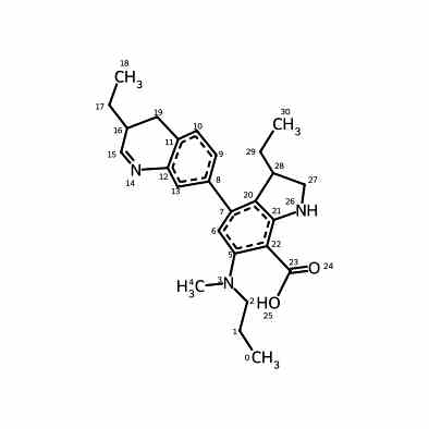 CCCN(C)c1cc(-c2ccc3c(c2)N=CC(CC)C3)c2c(c1C(=O)O)NCC2CC